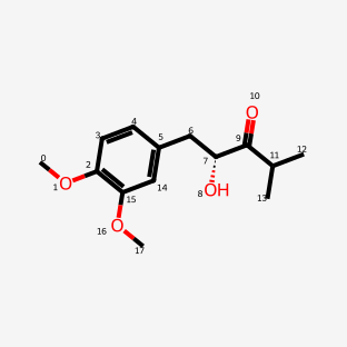 COc1ccc(C[C@@H](O)C(=O)C(C)C)cc1OC